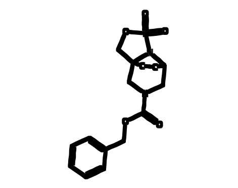 O=C(OCc1ccccc1)N1CC2CCC3(COS(=O)(=O)N23)C1